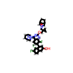 O=C1C2CCC1CN(CC1(COc3nc(N4CC5CCC(C4)N5)c4ccc(-c5cc(O)cc6ccc(F)c(F)c56)c(F)c4n3)CC1)C2